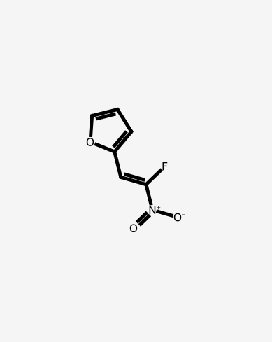 O=[N+]([O-])/C(F)=C/c1ccco1